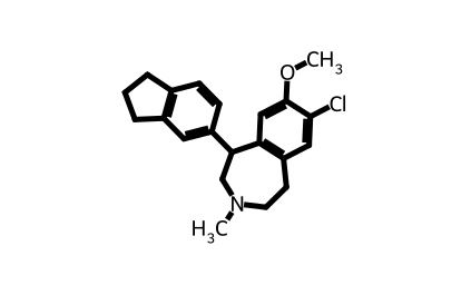 COc1cc2c(cc1Cl)CCN(C)CC2c1ccc2c(c1)CCC2